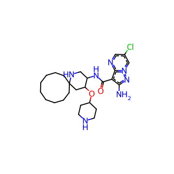 Nc1nn2cc(Cl)cnc2c1C(=O)NC1CNC2(CCCCCCCCC2)CC1OC1CCNCC1